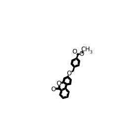 COC(=O)c1ccc(COc2ccc3c(c2)oc(=O)c2ccccc23)cc1